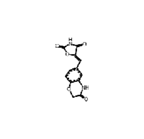 O=C1COc2ccc(/C=C3\OC(=O)NC3=O)cc2N1